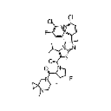 CC(C)C1=C(C(=O)N2C[C@H](F)C[C@H]2C(=O)N2CC3(CC3)N(C)C[C@H]2C)SC2=N[C@@](C)(c3ccc(Cl)nc3)[C@@H](c3ccc(Cl)c(F)c3)N21